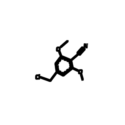 COc1cc(CCl)cc(OC)c1C#N